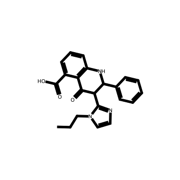 CCCn1ccnc1C1C(=O)c2c(cccc2C(=O)O)NC1c1ccccc1